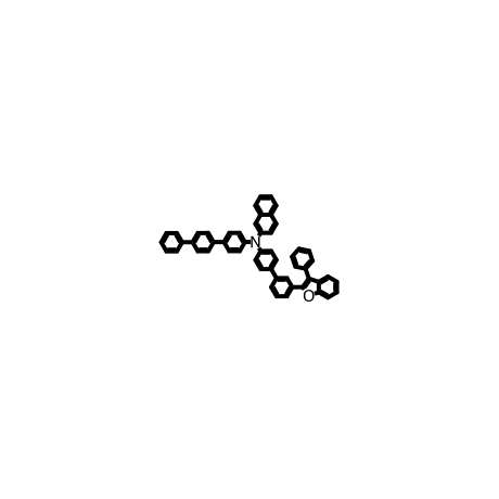 c1ccc(-c2ccc(-c3ccc(N(c4ccc(-c5cccc(-c6oc7ccccc7c6-c6ccccc6)c5)cc4)c4ccc5ccccc5c4)cc3)cc2)cc1